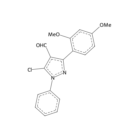 COc1ccc(-c2nn(-c3ccccc3)c(Cl)c2C=O)c(OC)c1